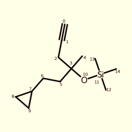 C#CCC(C)(CCC1CC1)O[Si](C)(C)C